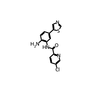 Nc1ccc(-c2cncs2)cc1NC(=O)c1ccc(Cl)cn1